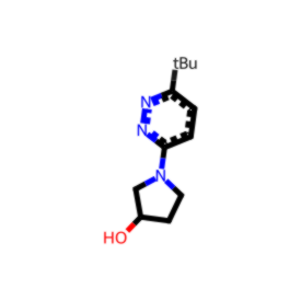 CC(C)(C)c1ccc(N2CCC(O)C2)nn1